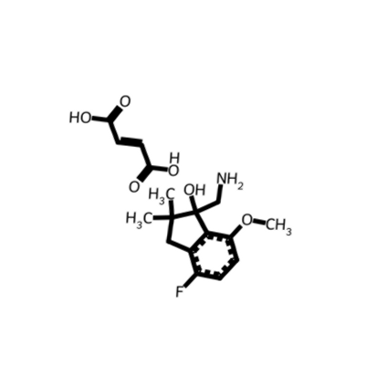 COc1ccc(F)c2c1C(O)(CN)C(C)(C)C2.O=C(O)C=CC(=O)O